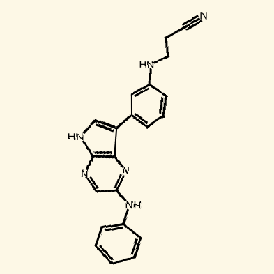 N#CCCNc1cccc(-c2c[nH]c3ncc(Nc4ccccc4)nc23)c1